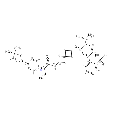 CC(C)(O)COC1=CN/C(=C(\C=N)C(=O)NC2CC3(C2)CC(Oc2cc(-c4ccccc4C(F)(F)F)ccc2C(N)=O)C3)C=C1